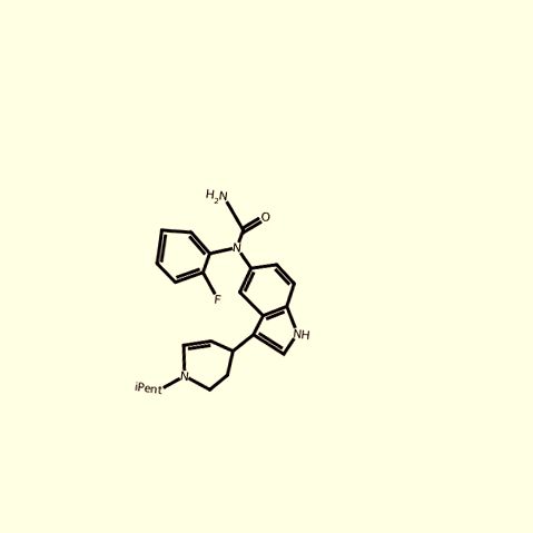 CCCC(C)N1C=CC(c2c[nH]c3ccc(N(C(N)=O)c4ccccc4F)cc23)CC1